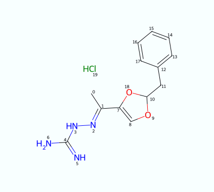 CC(=NNC(=N)N)C1=COC(Cc2ccccc2)O1.Cl